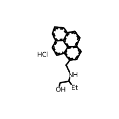 CCC(CO)NCc1ccc2ccc3cccc4ccc1c2c34.Cl